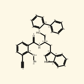 C#Cc1cccc(C(=O)N[C@@H](CO)Cc2c[nH]c3ccccc23)c1OC(C)C.c1ccc(-c2ccccc2)cc1